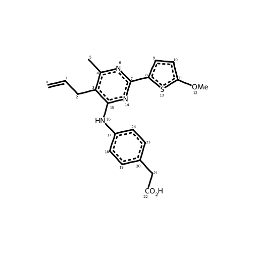 C=CCc1c(C)nc(-c2ccc(OC)s2)nc1Nc1ccc(CC(=O)O)cc1